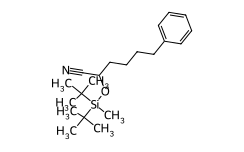 CC(C)(C)[Si](C)(OC(C#N)CCCCc1ccccc1)C(C)(C)C